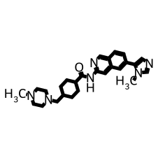 CN1CCN(CC2CCC(C(=O)Nc3cc4cc(-c5cncn5C)ccc4cn3)CC2)CC1